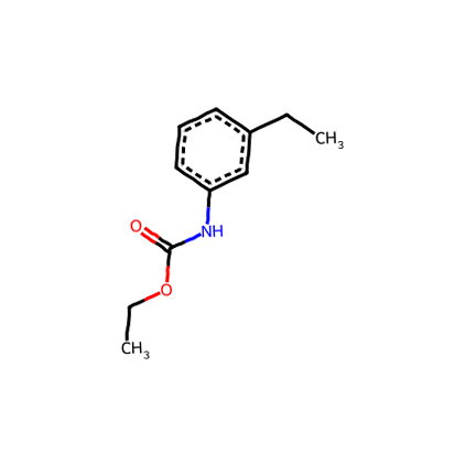 CCOC(=O)Nc1cccc(CC)c1